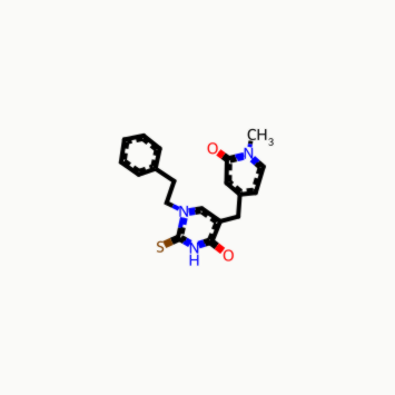 Cn1ccc(Cc2cn(CCc3ccccc3)c(=S)[nH]c2=O)cc1=O